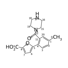 Cc1ccc(-c2ccc(C(=O)O)o2)c(C(=O)N2CCNCC2)c1